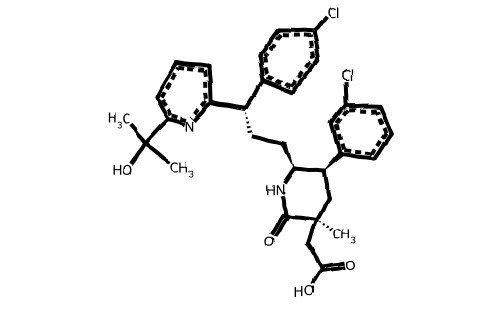 CC(C)(O)c1cccc([C@@H](CC[C@@H]2NC(=O)[C@](C)(CC(=O)O)C[C@@H]2c2cccc(Cl)c2)c2ccc(Cl)cc2)n1